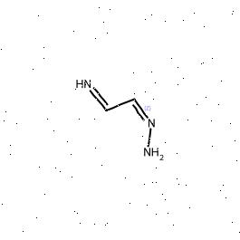 N=C/C=N\N